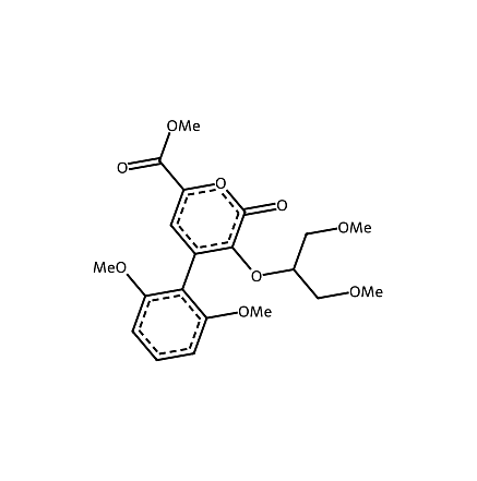 COCC(COC)Oc1c(-c2c(OC)cccc2OC)cc(C(=O)OC)oc1=O